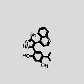 CC(C)c1cc(-c2[nH]nc(S)c2-c2ccnc3ccccc23)c(O)cc1O